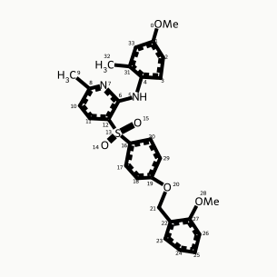 COc1ccc(Nc2nc(C)ccc2S(=O)(=O)c2ccc(OCc3ccccc3OC)cc2)c(C)c1